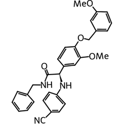 COc1cccc(COc2ccc([C@@H](Nc3ccc(C#N)cc3)C(=O)NCc3ccccc3)cc2OC)c1